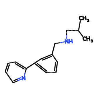 CC(C)CNCc1cccc(-c2ccccn2)c1